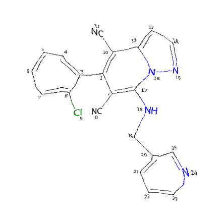 N#Cc1c(-c2ccccc2Cl)c(C#N)c2ccnn2c1NCc1cccnc1